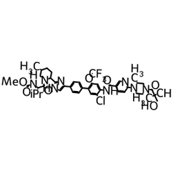 COC(=O)N[C@H](C(=O)N1C[C@@H](C)CCC1c1nc(-c2ccc(-c3cc(Cl)c(NC(=O)c4ccc(N5CCN(C(=O)C(C)(C)CO)C[C@H]5C)nc4)cc3OC(F)(F)F)cc2)c[nH]1)C(C)C